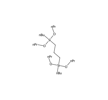 CCCC[Si](CCC[Si](CCCC)(OCCC)OCCC)(OCCC)OCCC